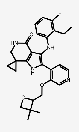 CCc1c(F)cccc1Nc1c(-c2ccncc2OCC2OCC2(C)C)[nH]c2c1C(=O)NCC21CC1